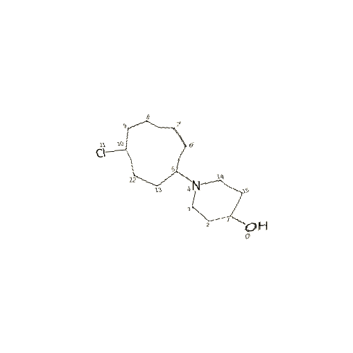 OC1CCN(C2CCCCC(Cl)CC2)CC1